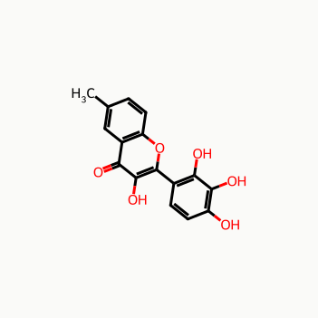 Cc1ccc2oc(-c3ccc(O)c(O)c3O)c(O)c(=O)c2c1